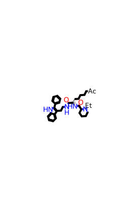 CCN1CCCCC1C(=O)N[C@@H](CCCCCC(C)=O)C(=O)NCCc1c(-c2ccccc2)[nH]c2ccccc12